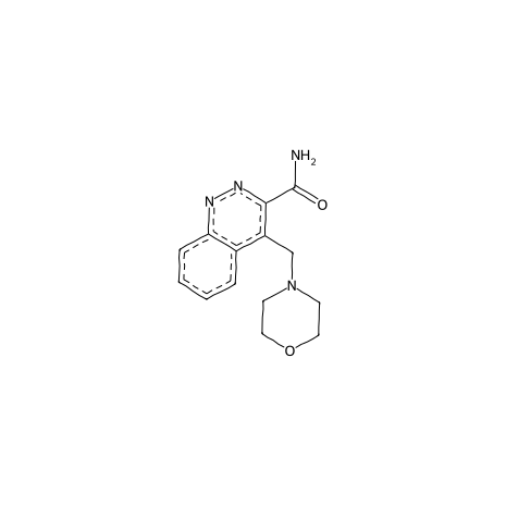 NC(=O)c1nnc2ccccc2c1CN1CCOCC1